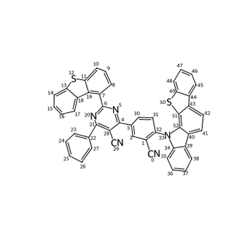 N#Cc1cc(-c2nc(-c3cccc4sc5ccccc5c34)nc(-c3ccccc3)c2C#N)ccc1-n1c2ccccc2c2ccc3c4ccccc4sc3c21